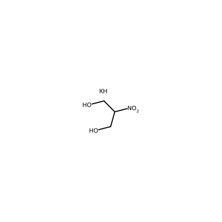 O=[N+]([O-])C(CO)CO.[KH]